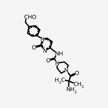 CC(C)(N)C(=O)N1CCN(C(=O)Nc2ccn(-c3ccc(CC=O)cc3)c(=O)n2)CC1